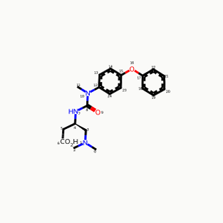 CN(C)C[C@@H](CC(=O)O)NC(=O)N(C)c1ccc(Oc2ccccc2)cc1